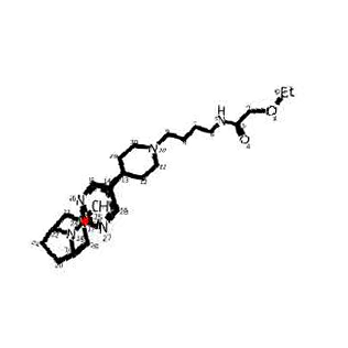 CCOCC(=O)NCCCCN1CCC(c2cnc(N3C4CCC3CN(C)C4)nc2)CC1